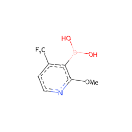 COc1nccc(C(F)(F)F)c1B(O)O